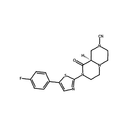 N#CN1CCN2CCN(c3ncc(-c4ccc(F)cc4)s3)C(=O)[C@H]2C1